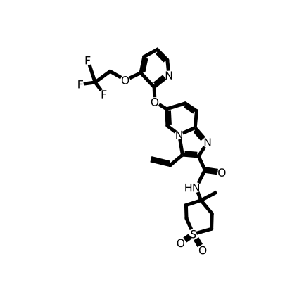 C=Cc1c(C(=O)NC2(C)CCS(=O)(=O)CC2)nc2ccc(Oc3ncccc3OCC(F)(F)F)cn12